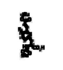 CC(C)(C)OC(=O)/C=C/c1nc(CC(NC(=O)OC(C)(C)C)C(=O)O)ccc1F